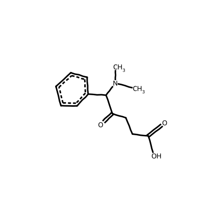 CN(C)C(C(=O)CCC(=O)O)c1ccccc1